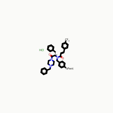 CCCCCc1ccc(CN(C(=O)C=Cc2ccc(C(F)(F)F)cc2)[C@@H](Cc2ccccc2)C(=O)N2CCN(Cc3ccccc3)CC2)cc1.Cl